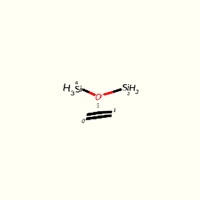 C=C.[SiH3]O[SiH3]